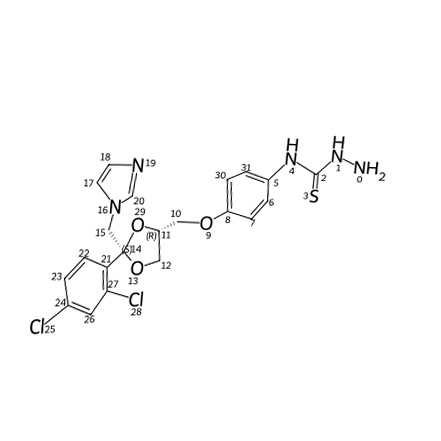 NNC(=S)Nc1ccc(OC[C@@H]2CO[C@@](Cn3ccnc3)(c3ccc(Cl)cc3Cl)O2)cc1